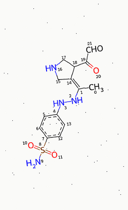 CC(NNc1ccc(S(N)(=O)=O)cc1)=C1CNCC1C(=O)C=O